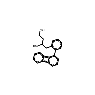 CC(C)(C)CCC(Cc1ccccc1-c1cccc2c1=c1ccccc1=2)C(C)(C)C